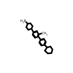 BC1CCC(c2ccc(-c3ccc(C4CCCCC4)cc3)c(C)c2)CC1